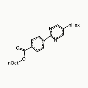 CCCCCCCCOC(=O)c1ccc(-c2ncc(CCCCCC)cn2)cc1